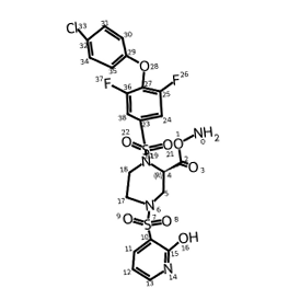 NOC(=O)[C@H]1CN(S(=O)(=O)c2cccnc2O)CCN1S(=O)(=O)c1cc(F)c(Oc2ccc(Cl)cc2)c(F)c1